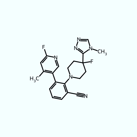 Cc1cc(F)ncc1-c1cccc(C#N)c1N1CCC(F)(c2nncn2C)CC1